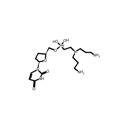 NCCCN(CCCN)CC[PH](O)(O)OC[C@@H]1CC[C@H](n2ccc(=O)[nH]c2=O)O1